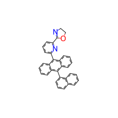 c1cc(C2=NCCO2)nc(-c2c3ccccc3c(-c3cccc4ccccc34)c3ccccc23)c1